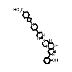 O=C(O)C1CCC2(CC1)CC(N1CCC(c3cnc(N4CCN5c6cc(-c7ccccc7O)nnc6NC[C@H]5C4)nc3)CC1)C2